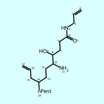 C=CCNC(=O)CCC(O)C(N)CCC(CC=C)CCCCC